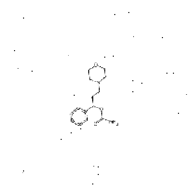 NC(=O)O[C@H](CCN1CCOCC1)c1ccccc1